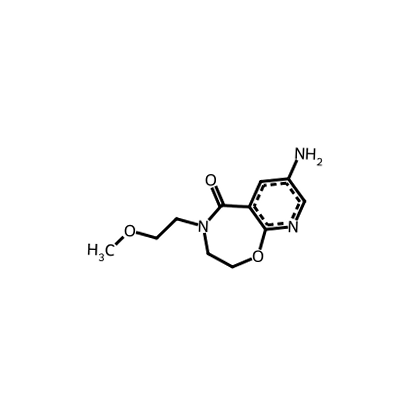 COCCN1CCOc2ncc(N)cc2C1=O